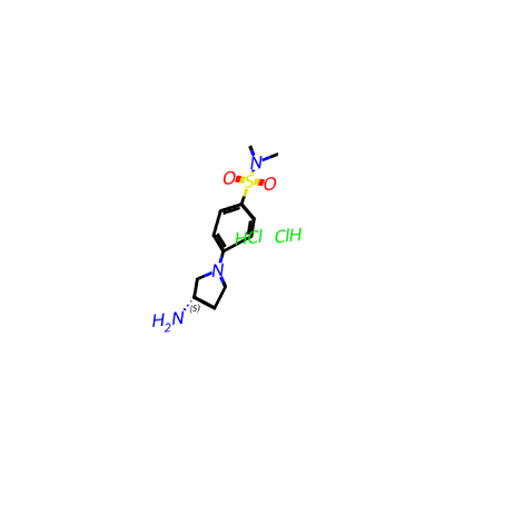 CN(C)S(=O)(=O)c1ccc(N2CC[C@H](N)C2)cc1.Cl.Cl